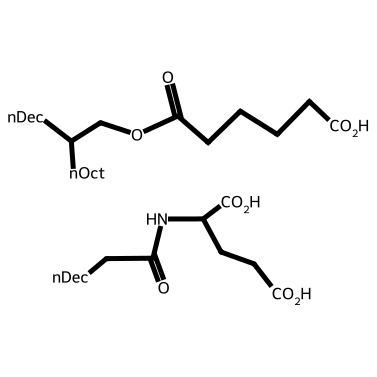 CCCCCCCCCCC(CCCCCCCC)COC(=O)CCCCC(=O)O.CCCCCCCCCCCC(=O)NC(CCC(=O)O)C(=O)O